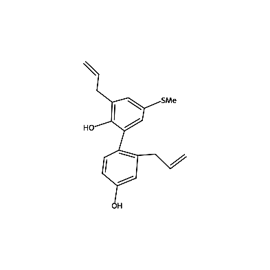 C=CCc1cc(O)ccc1-c1cc(SC)cc(CC=C)c1O